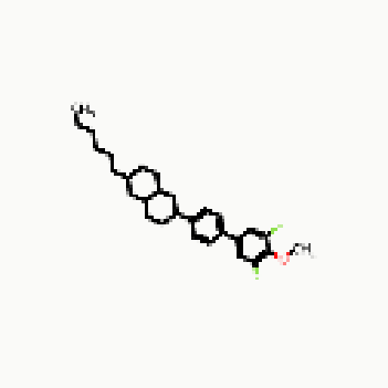 CCCCCCC1CCC2CC(c3ccc(-c4cc(F)c(OC)c(F)c4)cc3)CCC2C1